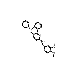 COc1ccc(CNc2ncc3c(n2)-c2ccccc2C(c2ccccc2)C3)cc1OC